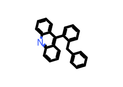 c1ccc(Cc2ccccc2-c2c3ccccc3nc3ccccc23)cc1